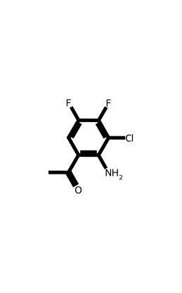 CC(=O)c1cc(F)c(F)c(Cl)c1N